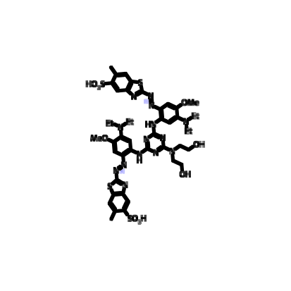 CCN(CC)c1cc(Nc2nc(Nc3cc(N(CC)CC)c(OC)cc3/N=N/c3nc4cc(S(=O)(=O)O)c(C)cc4s3)nc(N(CCO)CCO)n2)c(/N=N/c2nc3cc(S(=O)(=O)O)c(C)cc3s2)cc1OC